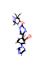 CC1(C)CC(Oc2ncc(-c3ccc(-n4ccnc4)cc3O)nn2)CC(C)(C)N1